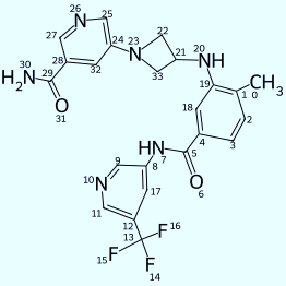 Cc1ccc(C(=O)Nc2cncc(C(F)(F)F)c2)cc1NC1CN(c2cncc(C(N)=O)c2)C1